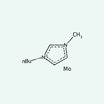 CCCC[n+]1ccn(C)c1.[Mo]